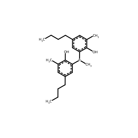 CCCCc1cc(C)c(O)c(P(C)c2cc(CCCC)cc(C)c2O)c1